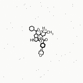 CC(C)CC(NC(=O)c1ccc(N2CCOCC2)cc1)C(=O)N1C(C(=O)C2CCCCC2)CC2NCC(=O)C21